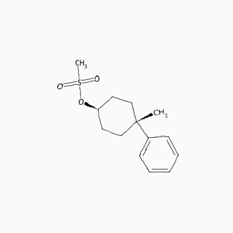 CS(=O)(=O)O[C@H]1CC[C@](C)(c2ccccc2)CC1